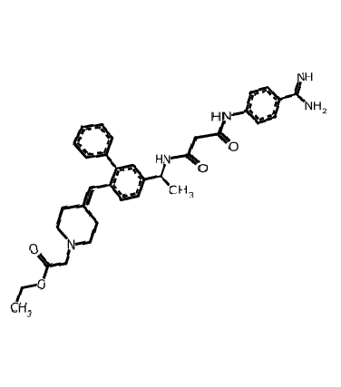 CCOC(=O)CN1CCC(=Cc2ccc(C(C)NC(=O)CC(=O)Nc3ccc(C(=N)N)cc3)cc2-c2ccccc2)CC1